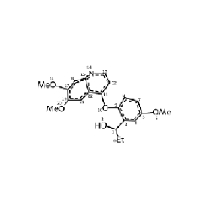 CCC(O)c1cc(OC)ccc1Oc1ccnc2cc(OC)c(OC)cc12